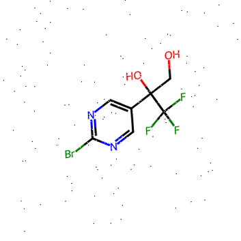 OCC(O)(c1cnc(Br)nc1)C(F)(F)F